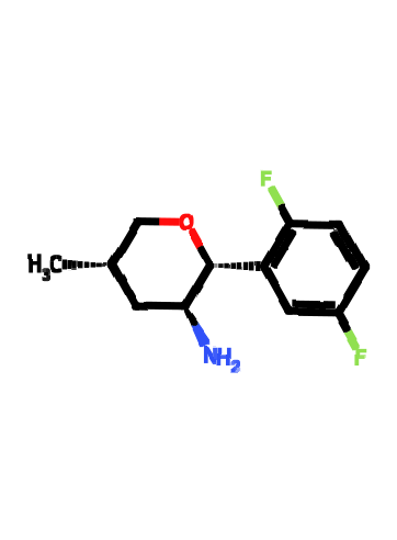 C[C@@H]1CO[C@H](c2cc(F)ccc2F)[C@@H](N)C1